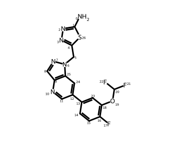 Nc1nnc(Cn2ncc3ncc(-c4ccc(F)c(OC(F)F)c4)cc32)s1